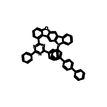 c1ccc(-c2ccc(-c3cccc(-n4c5ccccc5c5cc6oc7cccc(-c8nc(-c9ccccc9)nc(-c9ccccc9)n8)c7c6cc54)c3)cc2)cc1